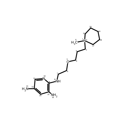 C[N+]1(CCCOCCNc2ncc(N)cc2N)CCCCC1